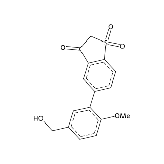 COc1ccc(CO)cc1-c1ccc2c(c1)C(=O)CS2(=O)=O